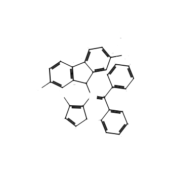 CC(C)C1=[C]([Zr+2](=[C](c2ccccc2)c2ccccc2)[CH]2c3cc(C(C)(C)C)ccc3-c3ccc(C(C)(C)C)cc32)CC=C1.[Cl-].[Cl-]